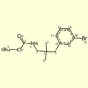 CC(C)(CNC(=O)OC(C)(C)C)Cc1cccc(Br)c1